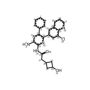 Nc1nc(-c2ccccc2)c(-c2cc(Cl)c3ncccc3c2)nc1NC(=O)CC1CC(O)C1